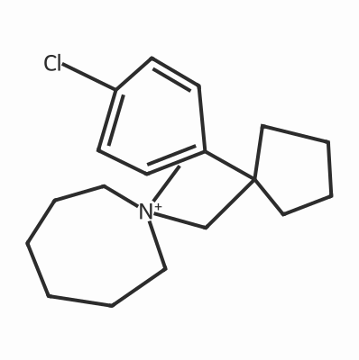 C[N+]1(CC2(c3ccc(Cl)cc3)CCCC2)CCCCCC1